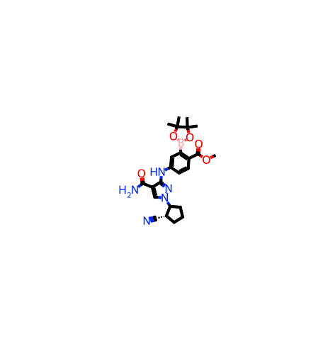 COC(=O)c1ccc(Nc2nn(C3CCC[C@@H]3C#N)cc2C(N)=O)cc1B1OC(C)(C)C(C)(C)O1